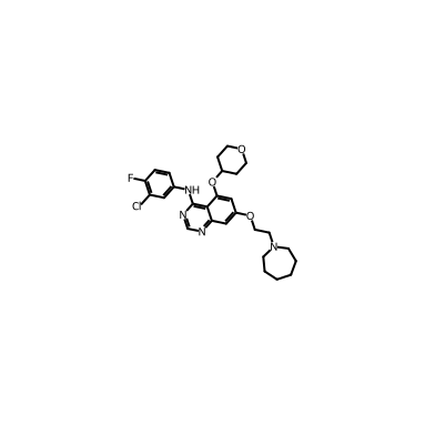 Fc1ccc(Nc2ncnc3cc(OCCN4CCCCCC4)cc(OC4CCOCC4)c23)cc1Cl